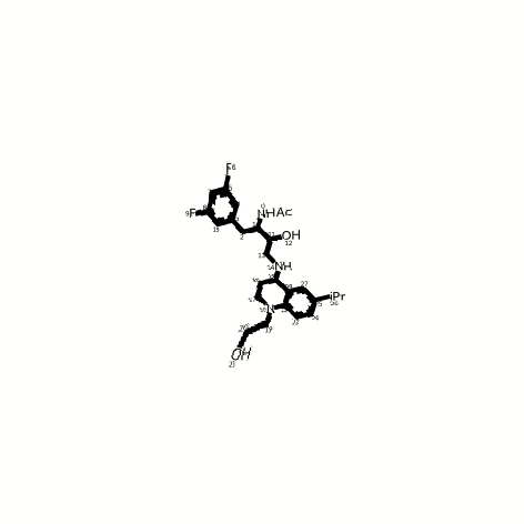 CC(=O)NC(Cc1cc(F)cc(F)c1)C(O)CNC1CCN(CCO)c2ccc(C(C)C)cc21